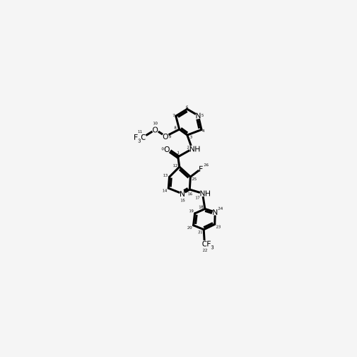 O=C(Nc1cnccc1OOC(F)(F)F)c1ccnc(Nc2ccc(C(F)(F)F)cn2)c1F